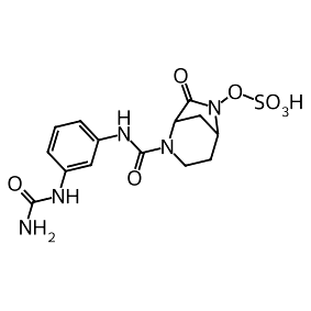 NC(=O)Nc1cccc(NC(=O)N2CCC3CC2C(=O)N3OS(=O)(=O)O)c1